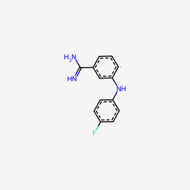 N=C(N)c1cc[c]c(Nc2ccc(F)cc2)c1